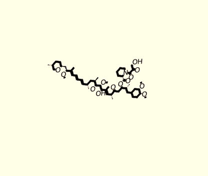 CO[C@@H](C[C@@H]1CC[C@@H](C)CO1)/C(C)=C/C=C/C=C/[C@@H](C)C[C@@H](C)C(=O)[C@H](OC)[C@H](O)/C(C)=C/[C@@H](C)C(=O)CC(OC(=O)[C@@H]1CCCCN1C(=O)C(=O)CO)[C@H](C)CC1CC[C@@H](OC)[C@H](OC)C1